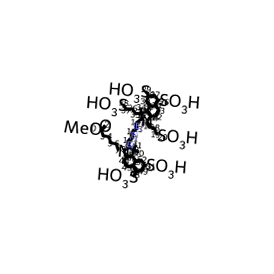 COC(=O)CCCCCN1/C(=C/C=C/C=C/C2=[N+](CCCS(=O)(=O)O)c3ccc4c(S(=O)(=O)O)cc(S(=O)(=O)O)cc4c3C2(C)CCCS(=O)(=O)O)C(C)(C)c2c1ccc1c(S(=O)(=O)O)cc(S(=O)(=O)O)cc21